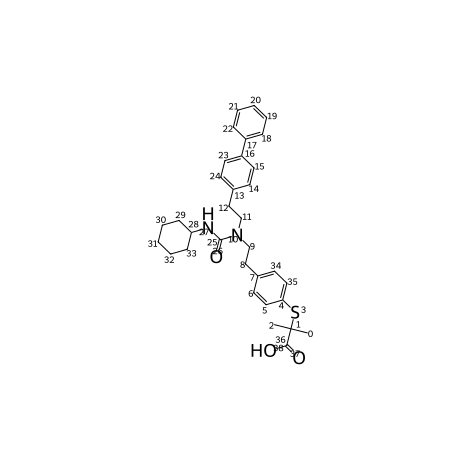 CC(C)(Sc1ccc(CCN(CCc2ccc(-c3ccccc3)cc2)C(=O)NC2CCCCC2)cc1)C(=O)O